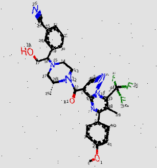 COc1ccc(-c2nc3c(C(=O)N4CCN(C(CO)c5cccc(C#N)c5)C[C@H]4C)cnn3c(C(F)(F)F)c2C)cc1